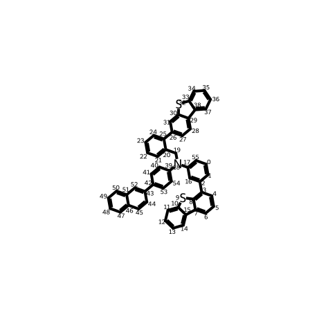 c1cc(-c2cccc3c2sc2ccccc23)cc(N(Cc2ccccc2-c2ccc3c(c2)sc2ccccc23)c2ccc(-c3ccc4ccccc4c3)cc2)c1